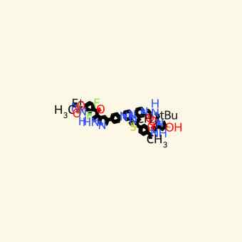 CCN(C)S(=O)(=O)Nc1ccc(F)c(C(=O)c2c[nH]c3ncc(-c4ccc(N5CCN(C6CCN(CC(=O)NC(C(=O)N7C[C@H](O)C[C@H]7C(=O)NC(C)c7ccc(-c8scnc8C)cc7)C(C)(C)C)CC6)CC5)cc4)cc23)c1F